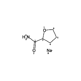 NC(=O)C1CCCO1.[Na]